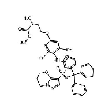 CC(C)c1cc(OCCN(C)C(=O)OC(C)(C)C)nc(C(C)C)c1NC(=O)NS(=O)(=NC(c1ccccc1)(c1ccccc1)c1ccccc1)c1cnn2c1OCCC2